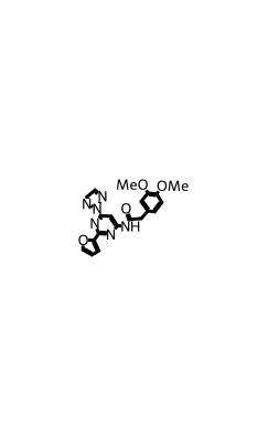 COc1ccc(CC(=O)Nc2cc(-n3nccn3)nc(-c3ccco3)n2)cc1OC